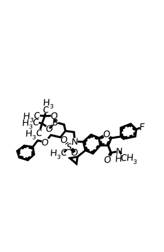 CNC(=O)c1c(-c2ccc(F)cc2)oc2cc(N(CC(CCOCc3ccccc3)CB3OC(C)(C)C(C)(C)O3)S(C)(=O)=O)c(C3CC3)cc12